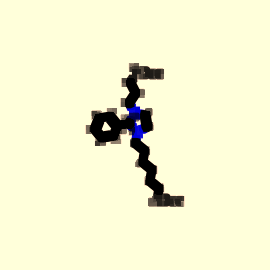 CCCCCCCCCCCCCCCCN1C=CN(CCCCCCCCCCCCC)C1c1ccccc1